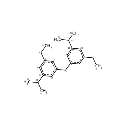 CCc1cc(Cc2cc(CC)cc(C(C)C)c2)cc(C(C)C)c1